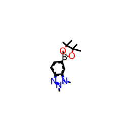 Cn1c2cc(B3OC(C)(C)C(C)(C)O3)ccc2n[n+]1C